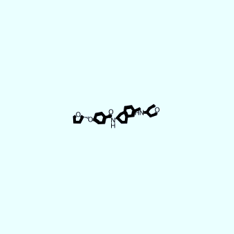 O=C(N[C@H]1CCc2cc(CNC3CCOCC3)ccc2C1)c1ccc(OC[C@@H]2CCCO2)cc1